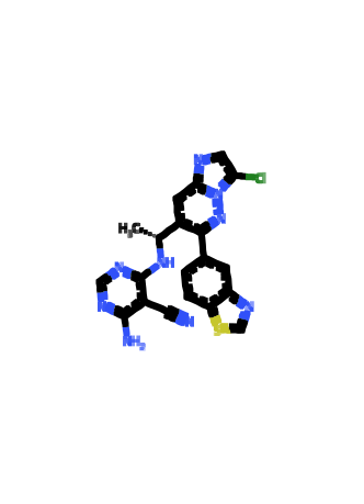 C[C@@H](Nc1ncnc(N)c1C#N)c1cc2ncc(Cl)n2nc1-c1ccc2scnc2c1